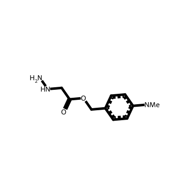 CNc1ccc(COC(=O)CNN)cc1